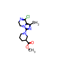 Bc1nc(N2CCCC(C(=O)OC)C2)n2c1C(Cl)=NCC2